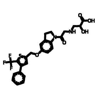 O=C(O)C(O)CNCC(=O)N1CCc2cc(OCc3cc(-c4ccccc4)c(C(F)(F)F)s3)ccc21